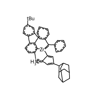 CC1C=C(C2C3CC4CC(C3)CC2C4)C=[C]1[Zr](=[C](c1ccccc1)c1ccccc1)[c]1c(C(C)(C)C)ccc2c1Cc1cc(C(C)(C)C)ccc1-2